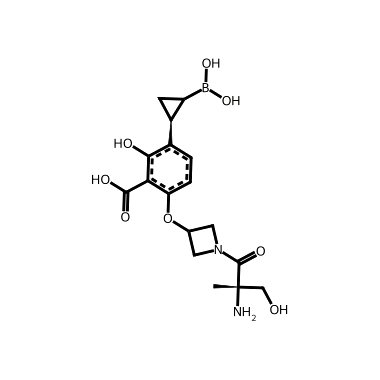 C[C@](N)(CO)C(=O)N1CC(Oc2ccc([C@H]3CC3B(O)O)c(O)c2C(=O)O)C1